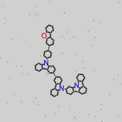 c1ccc2c(c1)oc1cc(-c3ccc(-n4c5ccccc5c5cc(-c6ccc7c(c6)c6ccccc6n7-c6ccc7c8cccc9c%10ccccc%10n(c7c6)c98)ccc54)cc3)ccc12